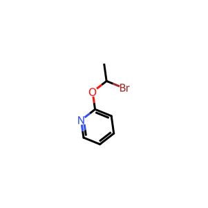 CC(Br)Oc1ccccn1